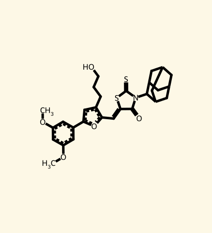 COc1cc(OC)cc(-c2cc(CCCO)c(/C=C3\SC(=S)N(C4C5CC6CC(C5)CC4C6)C3=O)o2)c1